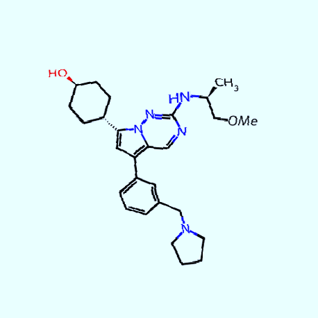 COC[C@H](C)Nc1ncc2c(-c3cccc(CN4CCCC4)c3)cc([C@H]3CC[C@H](O)CC3)n2n1